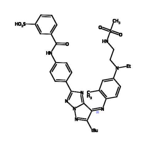 CCN(CCNS(C)(=O)=O)c1ccc(/N=C2/C(C(C)(C)C)=Nn3nc(-c4ccc(NC(=O)c5cccc(S(=O)(=O)O)c5)cc4)nc32)c(C)c1